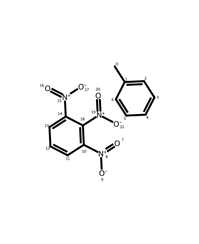 Cc1ccccc1.O=[N+]([O-])c1cccc([N+](=O)[O-])c1[N+](=O)[O-]